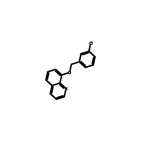 Clc1cccc(COc2cccc3cccnc23)c1